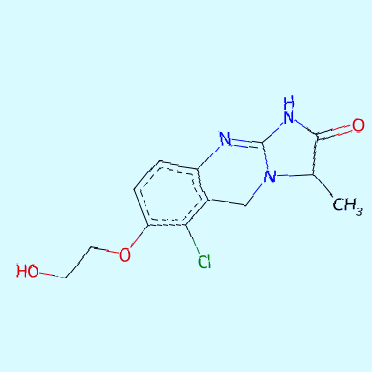 CC1C(=O)NC2=Nc3ccc(OCCO)c(Cl)c3CN21